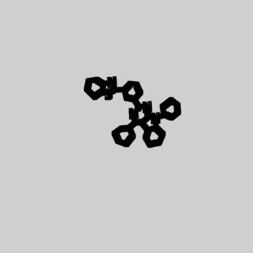 c1ccc(-c2nc(-c3cccc(-c4nc5ccccc5s4)c3)nc3c2c2ccccc2n3-c2ccccc2)cc1